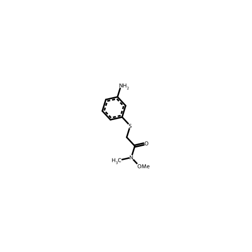 CON(C)C(=O)CSc1cccc(N)c1